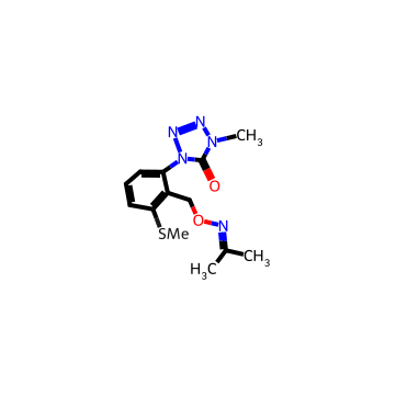 CSc1cccc(-n2nnn(C)c2=O)c1CON=C(C)C